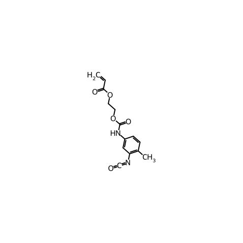 C=CC(=O)OCCOC(=O)Nc1ccc(C)c(N=C=O)c1